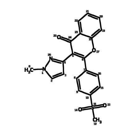 Cn1ccc(-c2c(-c3ccc(S(C)(=O)=O)cc3)oc3ccccc3c2=O)n1